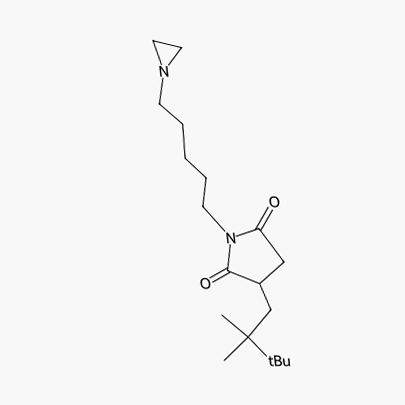 CC(C)(C)C(C)(C)CC1CC(=O)N(CCCCCN2CC2)C1=O